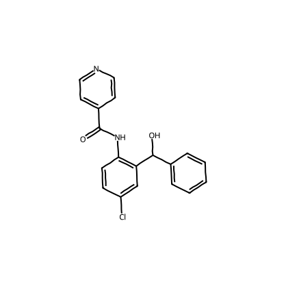 O=C(Nc1ccc(Cl)cc1C(O)c1ccccc1)c1ccncc1